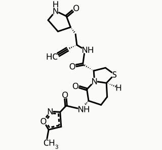 C#C[C@H](C[C@@H]1CCNC1=O)NC(=O)[C@@H]1CS[C@H]2CC[C@H](NC(=O)c3cc(C)on3)C(=O)N21